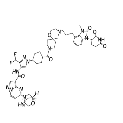 Cn1c(=O)n(C2CCC(=O)NC2=O)c2cccc(CCCN3CCOC4(CCN(C(=O)[C@H]5CC[C@H](n6cc(NC(=O)c7cnn8ccc(N9C[C@H]%10C[C@@H]9CO%10)nc78)c(C(F)F)n6)CC5)CC4)C3)c21